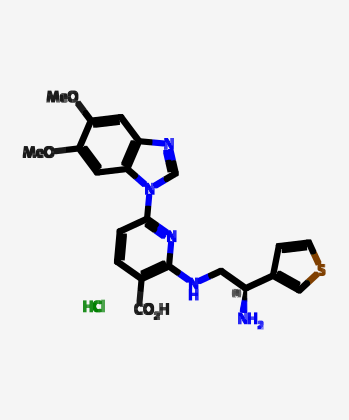 COc1cc2ncn(-c3ccc(C(=O)O)c(NC[C@H](N)c4ccsc4)n3)c2cc1OC.Cl